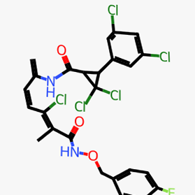 C=C(/C=C\C(Cl)=C(/C)C(=O)NOCc1ccc(F)cc1)NC(=O)C1C(c2cc(Cl)cc(Cl)c2)C1(Cl)Cl